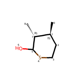 C[C@H]1CCSC(O)[C@@H]1C